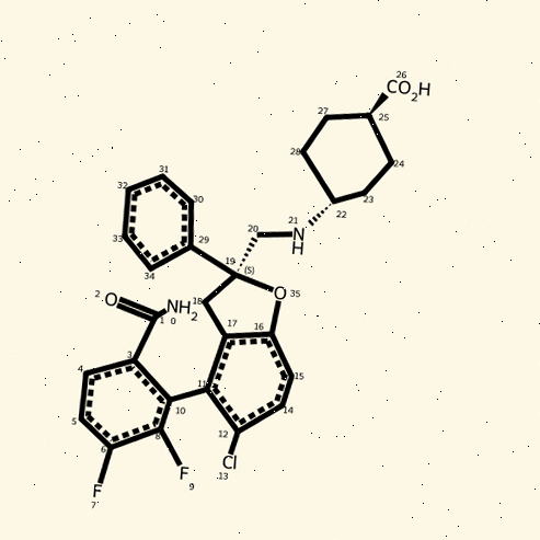 NC(=O)c1ccc(F)c(F)c1-c1c(Cl)ccc2c1C[C@@](CN[C@H]1CC[C@H](C(=O)O)CC1)(c1ccccc1)O2